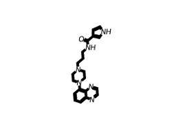 O=C(NCCCN1CCN(c2cccc3nccnc23)CC1)c1cc[nH]c1